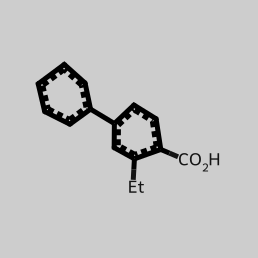 CCc1cc(-c2ccccc2)ccc1C(=O)O